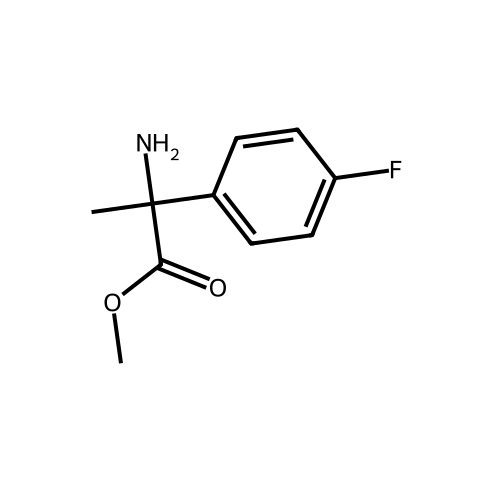 COC(=O)C(C)(N)c1ccc(F)cc1